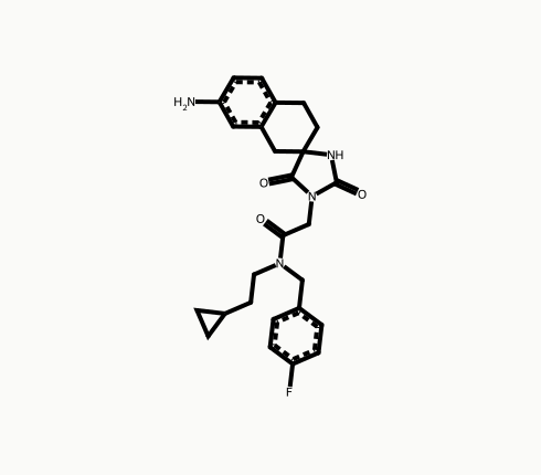 Nc1ccc2c(c1)CC1(CC2)NC(=O)N(CC(=O)N(CCC2CC2)Cc2ccc(F)cc2)C1=O